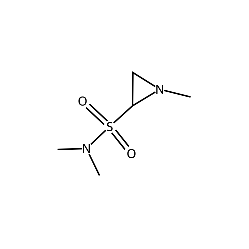 CN1CC1S(=O)(=O)N(C)C